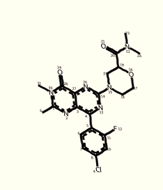 Cc1nc2c(-c3ccc(Cl)cc3F)nc(N3CCOC(C(=O)N(C)C)C3)nc2c(=O)n1C